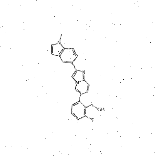 Cn1ccc2cc(-c3cn4cc(-c5cccc(F)c5CO)ccc4n3)ccc21